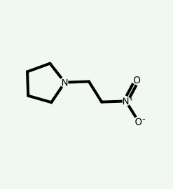 O=[N+]([O-])CCN1CCCC1